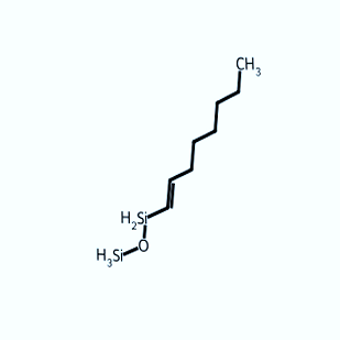 CCCCCCC=C[SiH2]O[SiH3]